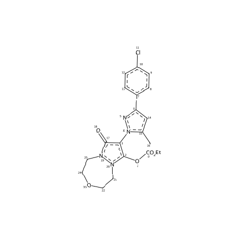 CCOC(=O)Oc1c(-n2nc(-c3ccc(Cl)cc3)cc2C)c(=O)n2n1CCOCC2